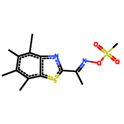 CC(=NOS(C)(=O)=O)c1nc2c(C)c(C)c(C)c(C)c2s1